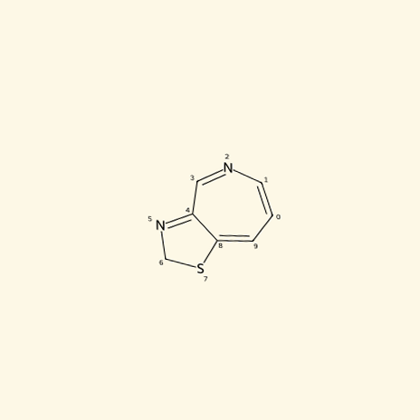 C1=CN=CC2=NCSC2=C1